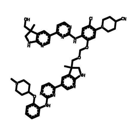 CN1CCC(Oc2ccccc2Nc2nccc(-c3cnc4c(c3)C(C)(COCOc3cc(N5CCC(C#N)CC5)c(Cl)cc3Nc3nccc(-c5cnc6c(c5)C(C)(CO)CN6)n3)CN4)n2)CC1